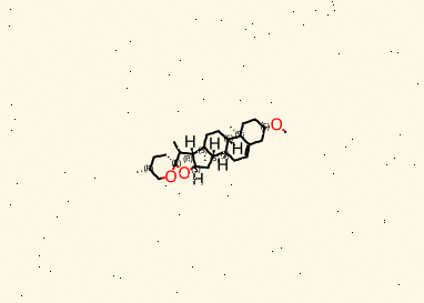 CO[C@H]1CC[C@@]2(C)C(=CC[C@H]3[C@@H]4C[C@@H]5O[C@]6(CC[C@@H](C)CO6)C(C)[C@@H]5[C@@]4(C)CC[C@@H]32)C1